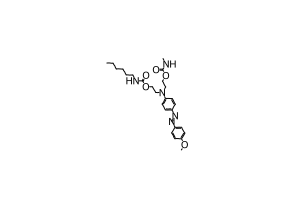 CCCCCCNC(=O)OCCN(CCOC(=O)NC)c1ccc(/N=N/c2ccc(OC)cc2)cc1